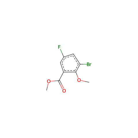 COC(=O)c1cc(F)cc(Br)c1OC